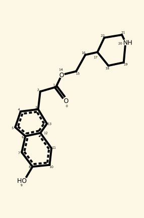 O=C(Cc1ccc2cc(O)ccc2c1)OCCC1CCNCC1